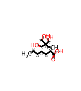 CCC(CO)(CO)CO.CCCCCCC(=O)O